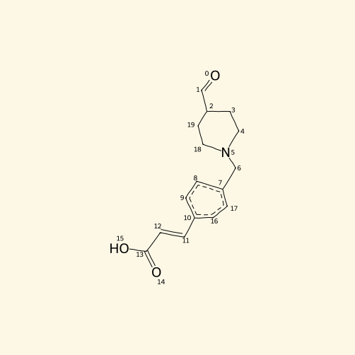 O=CC1CCN(Cc2ccc(C=CC(=O)O)cc2)CC1